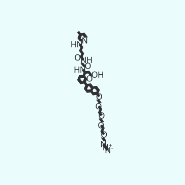 Cc1ccnc(NCCCC(=O)NCC(=O)NC(CC(=O)O)c2cccc(-c3ccc4cc(OCCOCCOCCOCCOCCN=[N+]=[N-])ccc4c3)c2)c1